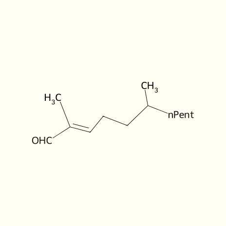 CCCCCC(C)CCC=C(C)C=O